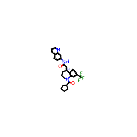 O=C(/C=C1\CCCN(C(=O)C2CCCC2)c2cc(C(F)(F)F)ccc21)Nc1ccc2cccnc2c1